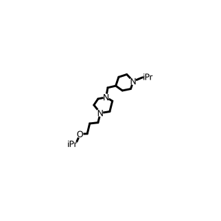 CC(C)OCCCN1CCN(CC2CCN(C(C)C)CC2)CC1